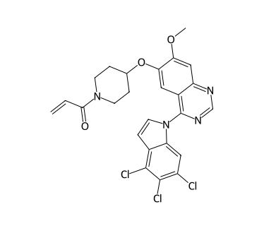 C=CC(=O)N1CCC(Oc2cc3c(-n4ccc5c(Cl)c(Cl)c(Cl)cc54)ncnc3cc2OC)CC1